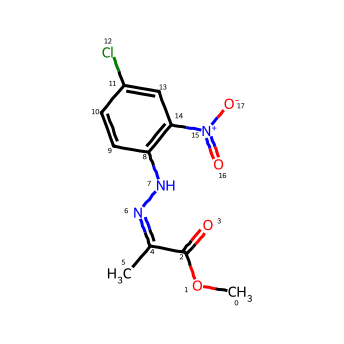 COC(=O)C(C)=NNc1ccc(Cl)cc1[N+](=O)[O-]